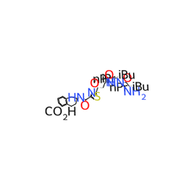 CCCO[C@H](C[C@H](C(C)C)N(CCC)C(=O)[C@@H](NC(=O)[C@H](N)[C@@H](C)CC)[C@@H](C)CC)c1nc(C(=O)N[C@H]2Cc3ccccc3[C@H](C(=O)O)C2)cs1